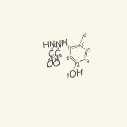 Cc1ccc(O)cc1C.N=C=O.N=C=O